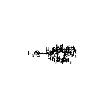 CC[C@H]1OC(=O)[C@H](C)[C@@H](O[C@H]2C[C@@](C)(OC)[C@@H](O)[C@H](C)O2)[C@H](C)[C@H]2O[C@@H]3O[C@H](C)C[C@H](N(C)Cc4ccc(NC(=O)CCCCCCC(=O)OC)cc4)[C@H]3O[C@]2(C)C[C@@H](C)CN(C)[C@H](C)[C@@H](O)[C@]1(C)O